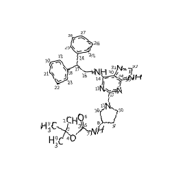 CC(C)(C)OC(=O)NC1CCN(c2nc(NCC(c3ccccc3)c3ccccc3)c3nc[nH]c3n2)C1